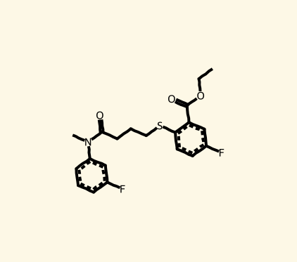 CCOC(=O)c1cc(F)ccc1SCCCC(=O)N(C)c1cccc(F)c1